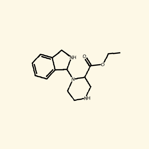 CCOC(=O)C1CNCCN1[C]1NCc2ccccc21